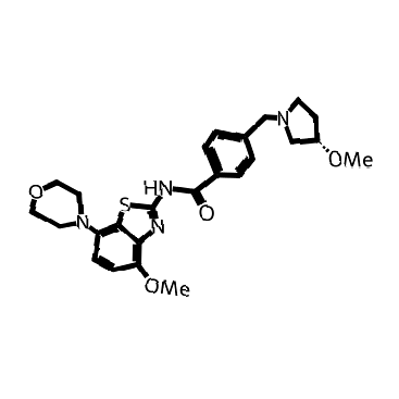 COc1ccc(N2CCOCC2)c2sc(NC(=O)c3ccc(CN4CC[C@H](OC)C4)cc3)nc12